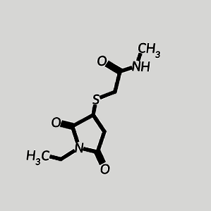 CCN1C(=O)CC(SCC(=O)NC)C1=O